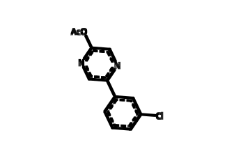 CC(=O)Oc1cnc(-c2cccc(Cl)c2)cn1